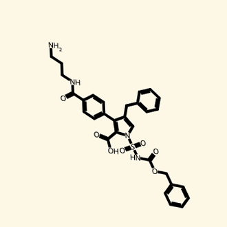 NCCCNC(=O)c1ccc(-c2c(Cc3ccccc3)cn(S(=O)(=O)NC(=O)OCc3ccccc3)c2C(=O)O)cc1